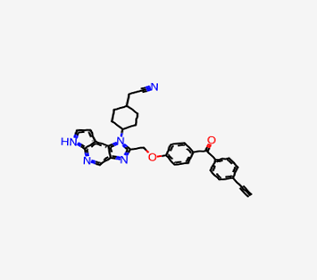 C#Cc1ccc(C(=O)c2ccc(OCc3nc4cnc5[nH]ccc5c4n3C3CCC(CC#N)CC3)cc2)cc1